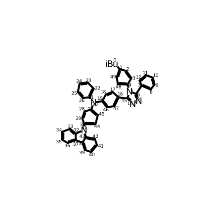 CCC(C)c1ccc(-n2c(-c3ccccc3)nnc2-c2ccc(N(c3ccccc3)c3ccc(-n4c5ccccc5c5ccccc54)cc3)cc2)cc1